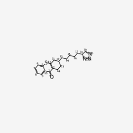 O=c1c2c(sc3ccccc13)CC(CCCCCC1C=NN=N1)CC2